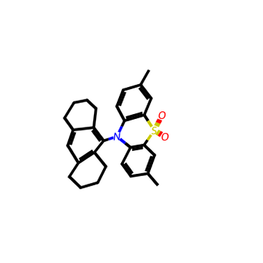 Cc1ccc2c(c1)S(=O)(=O)c1cc(C)ccc1N2c1c2c(cc3c1CCCC3)CCCC2